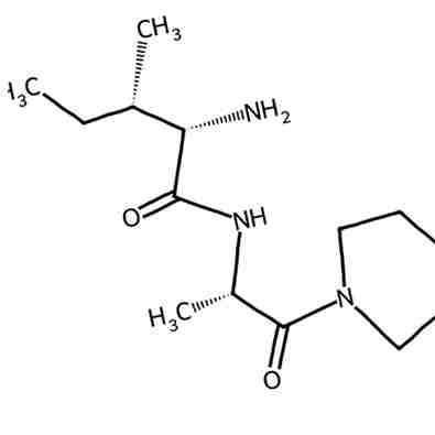 CC[C@H](C)[C@H](N)C(=O)N[C@@H](C)C(=O)N1CCOCC1